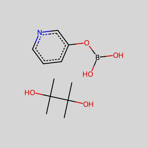 CC(C)(O)C(C)(C)O.OB(O)Oc1cccnc1